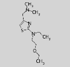 CCOCCN(CC)c1nc(CN(C)C)cs1